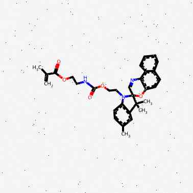 C=C(C)C(=O)OCCNC(=O)OCCN1c2ccc(C)cc2C(C)(C)C12C=Nc1c(ccc3ccccc13)O2